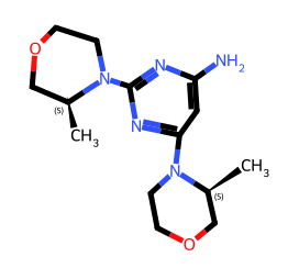 C[C@H]1COCCN1c1cc(N)nc(N2CCOC[C@@H]2C)n1